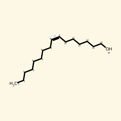 [CH2]CCCCCCC/C=C\CCCCCCO